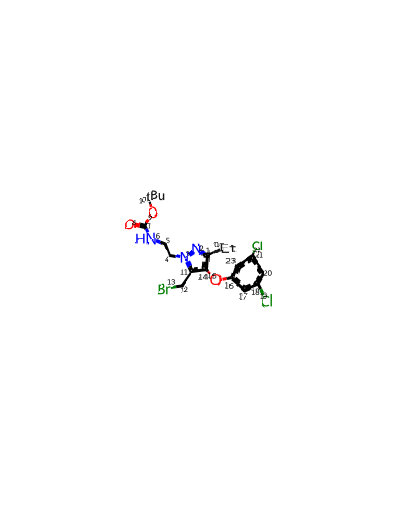 CCc1nn(CCNC(=O)OC(C)(C)C)c(CBr)c1Oc1cc(Cl)cc(Cl)c1